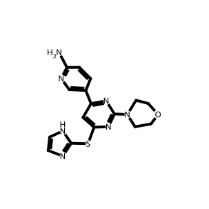 Nc1ccc(-c2cc(Sc3ncc[nH]3)nc(N3CCOCC3)n2)cn1